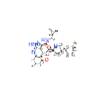 CC1CC(=O)C2=C(C1)Nc1[nH]nc(C(=O)NCC3CC3)c1C2/C=C/c1ccc(-c2cccc(F)c2)cn1